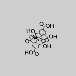 O=C(O)c1cc(C(=O)O)c(SSc2c(C(=O)O)cc(C(=O)O)cc2C(=O)O)c(C(=O)O)c1